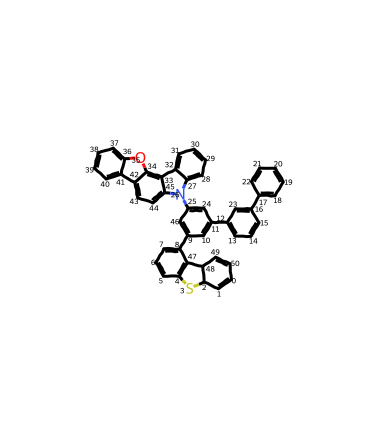 C1=CC2Sc3cccc(-c4cc(-c5cccc(-c6ccccc6)c5)cc(-n5c6ccccc6c6c7oc8ccccc8c7ccc65)c4)c3C2C=C1